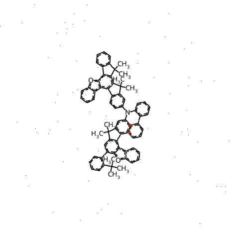 CC(C)(C)c1ccccc1-c1cc2c(c3c1oc1ccccc13)-c1ccc(N(c3ccc4c(c3)C(C)(C)c3c5c(c6oc7ccccc7c6c3-4)-c3ccccc3C5(C)C)c3ccccc3-c3ccccc3)cc1C2(C)C